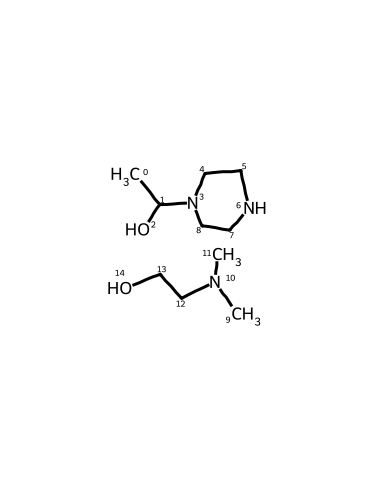 CC(O)N1CCNCC1.CN(C)CCO